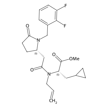 C=CCN(C(=O)C[C@@H]1CCC(=O)N1Cc1cccc(F)c1F)[C@@H](CC1CC1)C(=O)OC